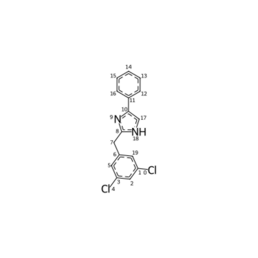 Clc1cc(Cl)cc(Cc2nc(-c3ccccc3)c[nH]2)c1